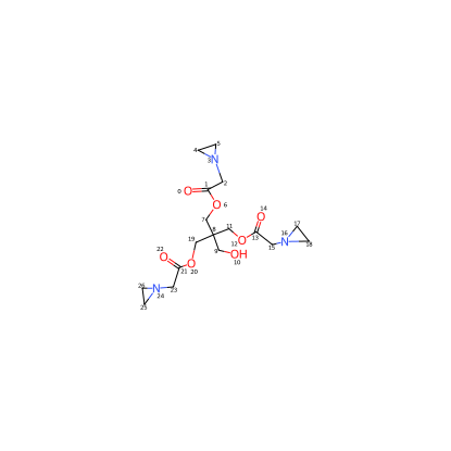 O=C(CN1CC1)OCC(CO)(COC(=O)CN1CC1)COC(=O)CN1CC1